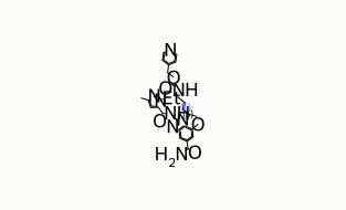 CCn1nc(C)cc1C(=O)Nc1nc2cc(C(N)=O)cc3c2n1[C@@](C)(/C=C/CNC(=O)OCc1ccncc1)CO3